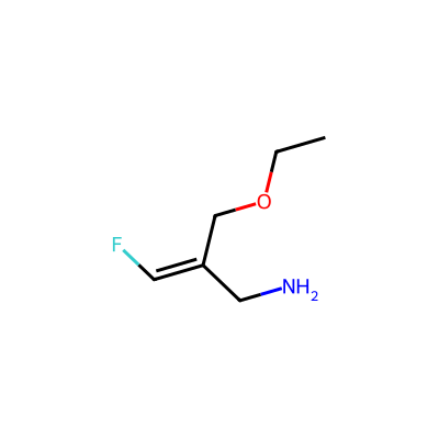 CCOC/C(=C\F)CN